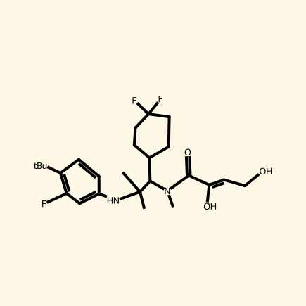 CN(C(=O)/C(O)=C/CO)C(C1CCC(F)(F)CC1)C(C)(C)Nc1ccc(C(C)(C)C)c(F)c1